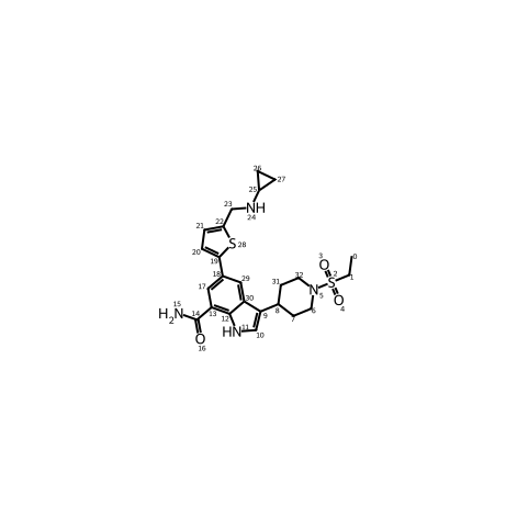 CCS(=O)(=O)N1CCC(c2c[nH]c3c(C(N)=O)cc(-c4ccc(CNC5CC5)s4)cc23)CC1